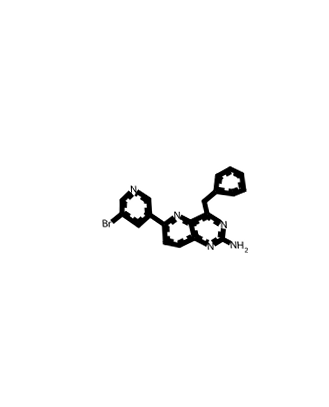 Nc1nc(Cc2ccccc2)c2nc(-c3cncc(Br)c3)ccc2n1